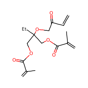 C=CC(=O)COC(CC)(COC(=O)C(=C)C)COC(=O)C(=C)C